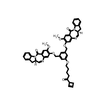 COc1cc2c(cc1OCc1cc(COc3cc4c(cc3OC)C(=O)N3c5ccccc5C[C@H]3C=N4)cc(OCCCCC(=O)C3C=CC3)c1)N=C[C@@H]1Cc3ccccc3N1C2=O